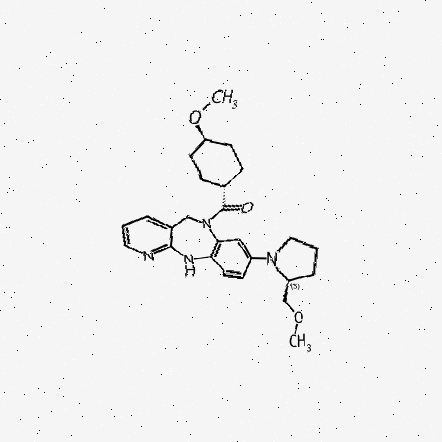 COC[C@@H]1CCCN1c1ccc2c(c1)N(C(=O)[C@H]1CC[C@H](OC)CC1)Cc1cccnc1N2